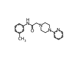 Cc1cccc(NC(=O)CN2CCN(c3ccccn3)CC2)c1